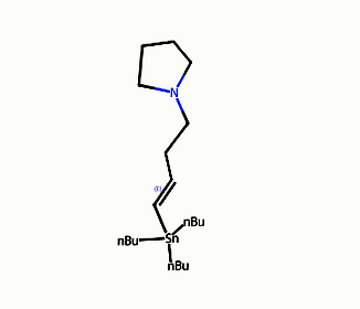 CCC[CH2][Sn](/[CH]=C/CCN1CCCC1)([CH2]CCC)[CH2]CCC